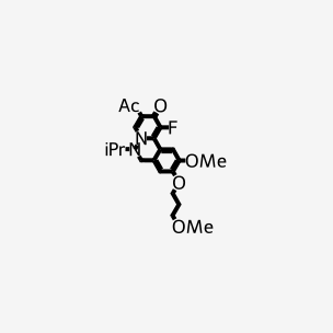 COCCCOc1cc2c(cc1OC)-c1c(F)c(=O)c(C(C)=O)cn1N(C(C)C)C2